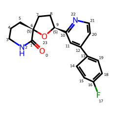 O=C1NCCC[C@]12CC[C@@H](c1cc(-c3ccc(F)cc3)ccn1)O2